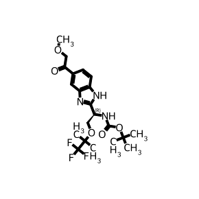 COCC(=O)c1ccc2[nH]c([C@H](COC(C)(C)C(F)(F)F)NC(=O)OC(C)(C)C)nc2c1